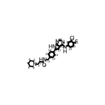 O=C(CCN1CCCCC1)NCc1ccc(-c2cc3c(Nc4ccc(F)c(Cl)c4)ncnc3[nH]2)cc1